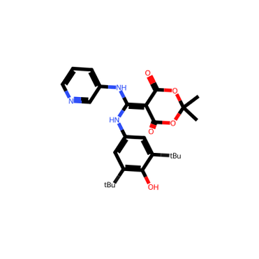 CC1(C)OC(=O)C(=C(Nc2cccnc2)Nc2cc(C(C)(C)C)c(O)c(C(C)(C)C)c2)C(=O)O1